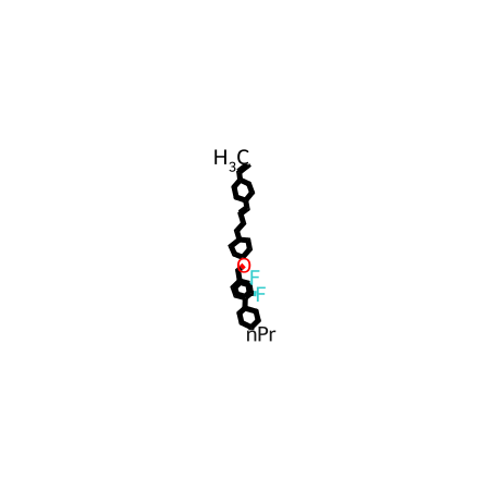 C/C=C/C1CCC(/C=C/CCC2CCC(OCc3ccc(C4CCC(CCC)CC4)c(F)c3F)CC2)CC1